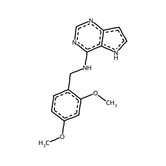 COc1ccc(CNc2ncnc3cc[nH]c23)c(OC)c1